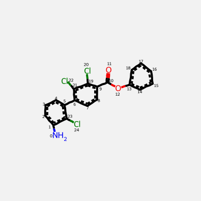 Nc1cccc(-c2ccc(C(=O)Oc3ccccc3)c(Cl)c2Cl)c1Cl